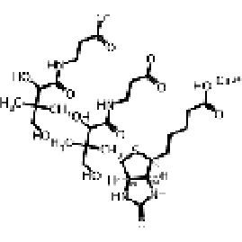 CC(C)(CO)C(O)C(=O)NCCC(=O)[O-].CC(C)(CO)C(O)C(=O)NCCC(=O)[O-].O=C(O)CCCC[C@@H]1SC[C@@H]2NC(=O)N[C@@H]21.[Ca+2]